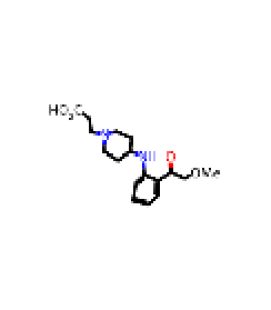 COCC(=O)c1ccccc1NC1CCN(CCC(=O)O)CC1